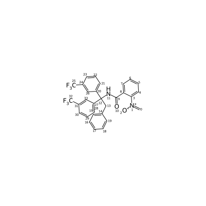 C=[N+]([O-])c1ccccc1C(=O)NC(Cc1ccccc1)(c1cccc(C(F)(F)F)c1)c1cccc(C(F)(F)F)c1